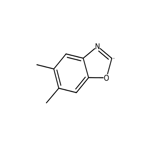 Cc1cc2n[c]oc2cc1C